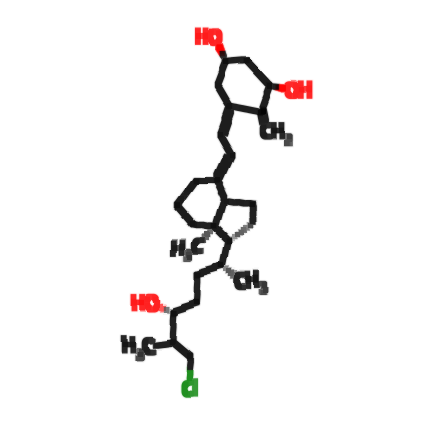 C=C1/C(=C\C=C2CCC[C@@]3(C)C2CC[C@@H]3[C@H](C)CC[C@@H](O)C(C)CCl)C[C@@H](O)C[C@H]1O